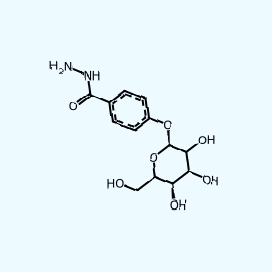 NNC(=O)c1ccc(O[C@@H]2OC(CO)[C@H](O)C(O)C2O)cc1